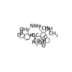 CNC[C@]1(C)C[C@@H](C(Oc2ccc3c(c2F)B(O)OC3)C(=O)O)[C@@]2(C)[C@H](C)CC[C@]3(CCC(=O)[C@H]32)[C@@H](C)[C@@H]1O